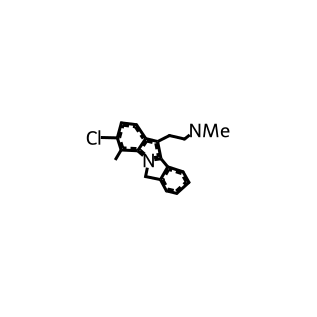 CNCCc1c2n(c3c(C)c(Cl)ccc13)Cc1ccccc1-2